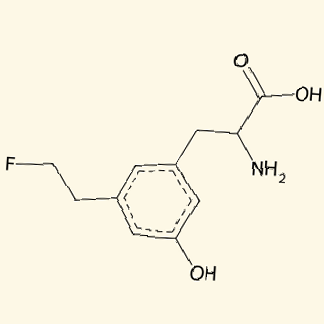 NC(Cc1cc(O)cc(CCF)c1)C(=O)O